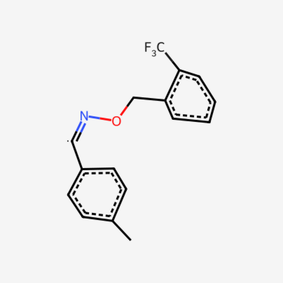 Cc1ccc(/[C]=N\OCc2ccccc2C(F)(F)F)cc1